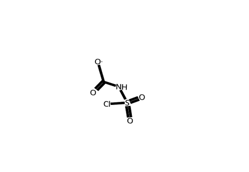 [O]C(=O)NS(=O)(=O)Cl